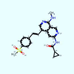 CNc1ncc(/C=C/c2ccc(S(C)(=O)=O)cc2)c2cc(NC(=O)C3CC3)ncc12